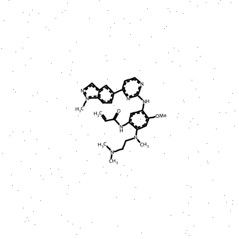 C=CC(=O)Nc1cc(Nc2nccc(-c3ccc4c(cnn4C)c3)n2)c(OC)cc1N(C)CCN(C)C